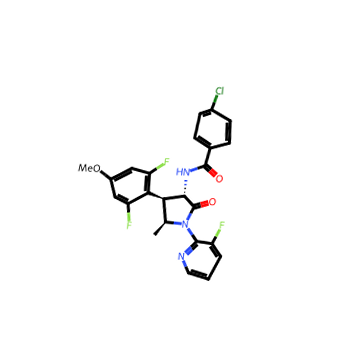 COc1cc(F)c([C@H]2[C@H](NC(=O)c3ccc(Cl)cc3)C(=O)N(c3ncccc3F)[C@H]2C)c(F)c1